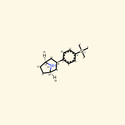 C[Si](C)(C)c1ccc([C@H]2C[C@H]3CC[C@@H](C2)N3)cc1